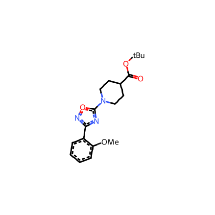 COc1ccccc1-c1noc(N2CCC(C(=O)OC(C)(C)C)CC2)n1